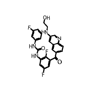 O=C(Nc1cccc(F)c1)Nc1cc(F)cc(C(=O)c2ccc3ncc(NCCO)cc3c2)c1F